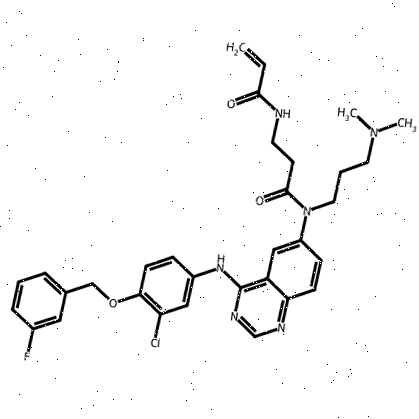 C=CC(=O)NCCC(=O)N(CCCN(C)C)c1ccc2ncnc(Nc3ccc(OCc4cccc(F)c4)c(Cl)c3)c2c1